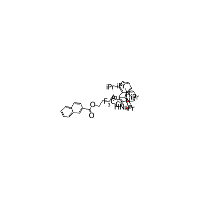 CC(C)c1cccc(C(C)C)[c]1[Au]([CH2]CCCOC(=O)c1ccc2ccccc2c1)([c]1c(C(C)C)cccc1C(C)C)(=[c]1[nH]cc[nH]1)([C](F)(F)F)[C](F)(F)F